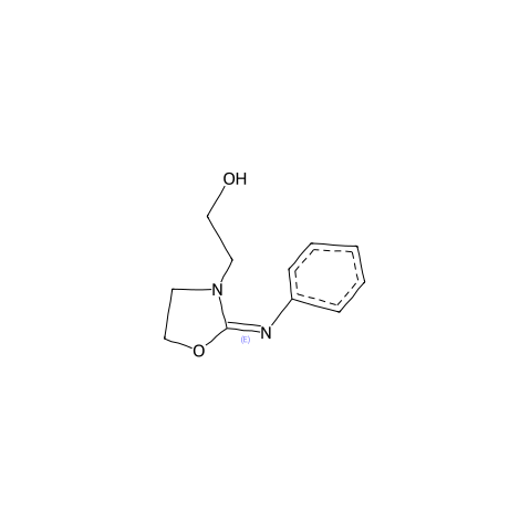 OCCN1CCO/C1=N/c1ccccc1